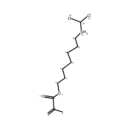 C=C(C)C(=O)OCCCCCCC[SiH2]C(Cl)Cl